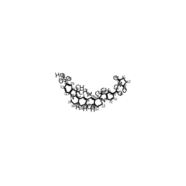 CC1(C)C2=C3C=C4C=C5C6=[N+](CC[C@H]5O[C@H]4C[C@H]3CCN2c2ccc(S(=O)(=O)O)cc21)c1ccc(C(=O)ON2C(=O)CCC2=O)cc1C6(C)C